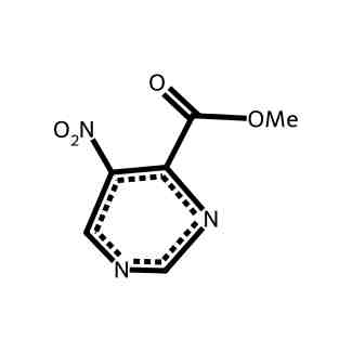 COC(=O)c1ncncc1[N+](=O)[O-]